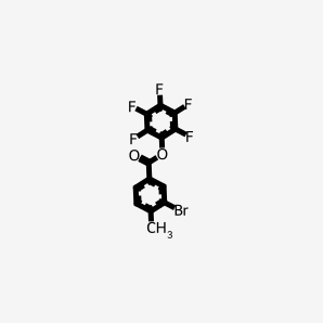 Cc1ccc(C(=O)Oc2c(F)c(F)c(F)c(F)c2F)cc1Br